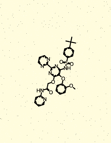 COc1ccccc1Oc1c(NS(=O)(=O)c2ccc(C(C)(C)C)cc2)nc(-c2ncccn2)nc1OCC(=O)Nc1ccccn1